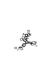 C=CC(=O)N1CCN(C2=CN(N3CC(C)(C#N)C3)Cc3c2cc(Cl)nc3Oc2c(Cl)c(F)cc3[nH]ncc23)CC1